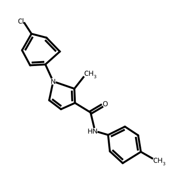 Cc1ccc(NC(=O)c2ccn(-c3ccc(Cl)cc3)c2C)cc1